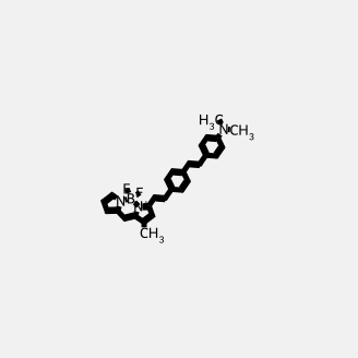 CC1=CC(/C=C/c2ccc(/C=C/c3ccc(N(C)C)cc3)cc2)=[N+]2C1=Cc1cccn1[B-]2(F)F